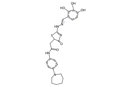 O=C(CC1SC(N/N=C/c2ccc(O)c(O)c2O)=NC1=O)Nc1ccc(N2CCCCCC2)cc1